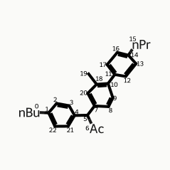 CCCCc1ccc(C(C(C)=O)c2ccc(-c3ccc(CCC)cc3)c(C)c2)cc1